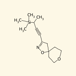 CC(C#CC1=NOC2(CCOCC2)C1)[Si](C)(C)C